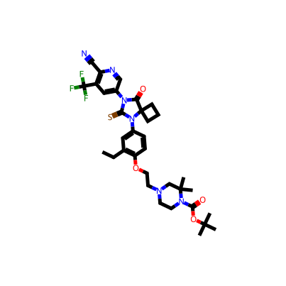 CCc1cc(N2C(=S)N(c3cnc(C#N)c(C(F)(F)F)c3)C(=O)C23CCC3)ccc1OCCN1CCN(C(=O)OC(C)(C)C)C(C)(C)C1